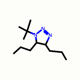 CCCC1N=NN(C(C)(C)C)C1CCC